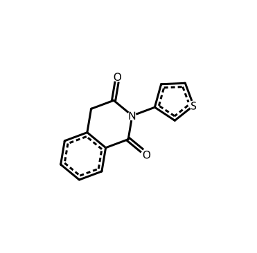 O=C1Cc2ccccc2C(=O)N1c1ccsc1